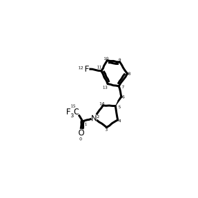 O=C(N1CC[C@H](Cc2cccc(F)c2)C1)C(F)(F)F